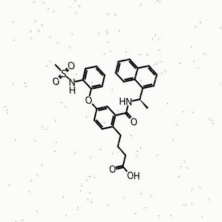 C[C@@H](NC(=O)c1cc(Oc2ccccc2NS(C)(=O)=O)ccc1CCCC(=O)O)c1cccc2ccccc12